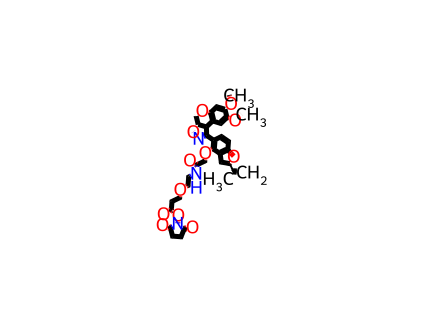 C=C(C)[C@H]1Cc2c(ccc(C3=NOC4COc5cc(OC)c(OC)cc5C34)c2OCC(=O)NCCOCCC(=O)ON2C(=O)CCC2=O)O1